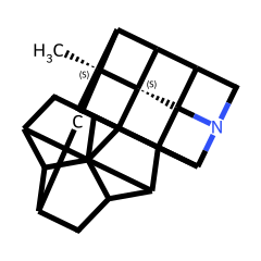 C[C@]12CC34C56C7CC8CC1C1C9CN%10C%11C5CC(C86)C7C%113C9%10[C@]142